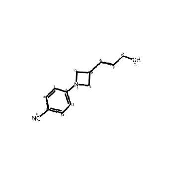 N#Cc1ccc(N2CC(CCCO)C2)cc1